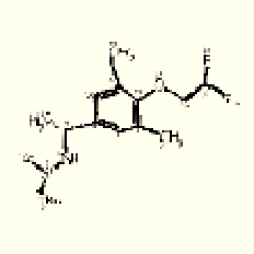 Cc1cc([C@@H](C)N[S@+]([O-])C(C)(C)C)cc(C)c1OCC(F)F